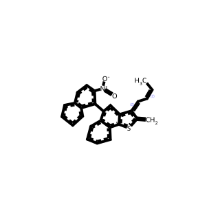 C=c1sc2c(cc(-c3c([N+](=O)[O-])ccc4ccccc34)c3ccccc32)/c1=C/C=C\C